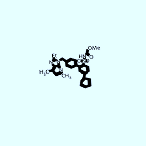 CCc1nc2c(C)cc(C)nc2n1Cc1ccc(-c2cc(-c3ccccc3)ccc2S(=O)(=O)NC(=O)COC)cc1